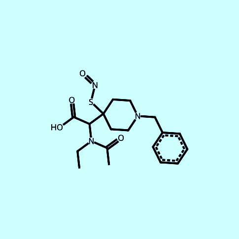 CCN(C(C)=O)C(C(=O)O)C1(SN=O)CCN(Cc2ccccc2)CC1